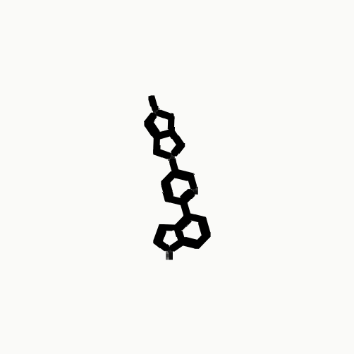 CN1C=C2CN(c3ccc(-c4cccc5[nH]ccc45)nc3)CC2C1